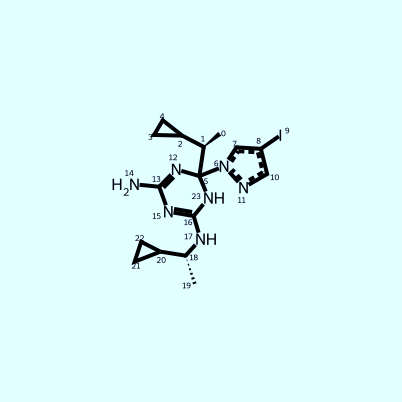 C[C@H](C1CC1)C1(n2cc(I)cn2)N=C(N)N=C(N[C@H](C)C2CC2)N1